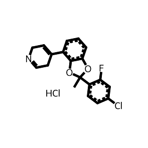 CC1(c2ccc(Cl)cc2F)Oc2cccc(C3=CCN=CC3)c2O1.Cl